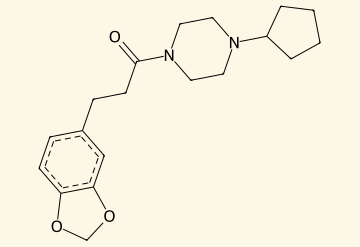 O=C(CCc1ccc2c(c1)OCO2)N1CCN(C2CCCC2)CC1